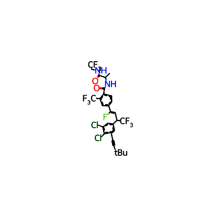 CC(NC(=O)c1ccc(/C(F)=C/C(c2cc(Cl)c(Cl)c(C#CC(C)(C)C)c2)C(F)(F)F)cc1C(F)(F)F)C(=O)NCC(F)(F)F